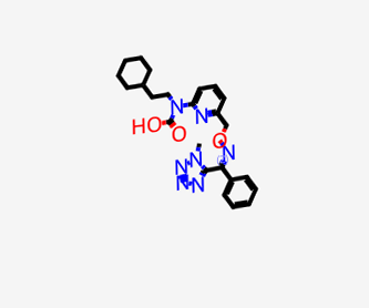 Cn1nnnc1/C(=N\OCc1cccc(N(CCC2CCCCC2)C(=O)O)n1)c1ccccc1